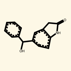 O=C1Cc2cc(C(O)c3ccccc3)ccc2N1